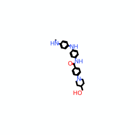 CNc1ccc(Nc2ccc(NC(=O)c3ccc(N4CCC(CO)CC4)cc3)cc2)cc1